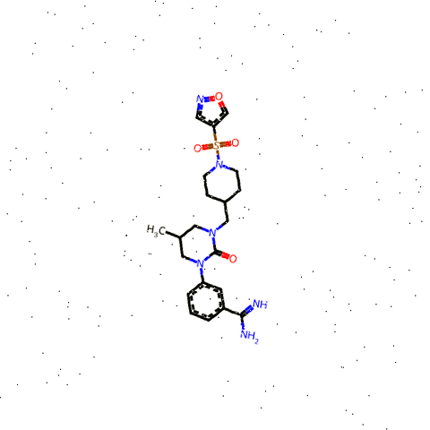 CC1CN(CC2CCN(S(=O)(=O)c3cnoc3)CC2)C(=O)N(c2cccc(C(=N)N)c2)C1